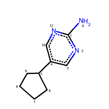 Nc1ncc(C2CCCC2)cn1